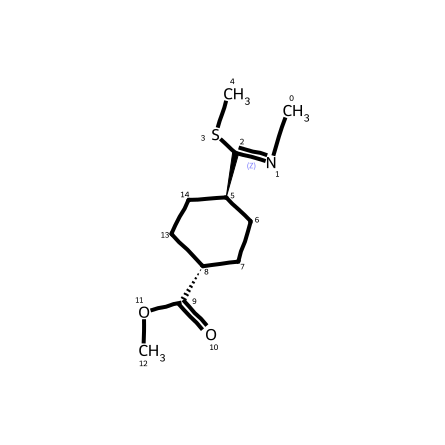 C/N=C(\SC)[C@H]1CC[C@H](C(=O)OC)CC1